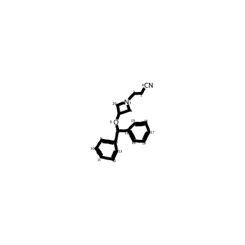 N#CCCN1CC(OC(c2ccccc2)c2ccccc2)C1